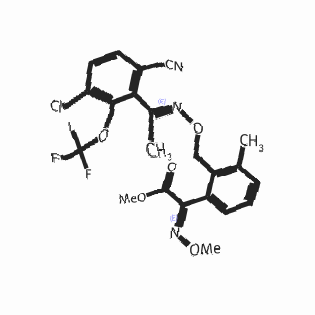 CO/N=C(/C(=O)OC)c1cccc(C)c1CO/N=C(\C)c1c(C#N)ccc(Cl)c1OC(F)(F)I